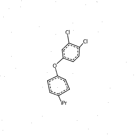 CC(C)c1ccc(Oc2ccc(Cl)c(Cl)c2)cc1